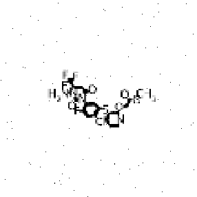 COC(=O)COc1ncccc1Sc1cc(-n2c(=O)cc(C(F)(F)F)n(N)c2=O)c(F)cc1Cl